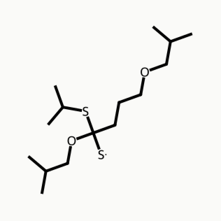 CC(C)COCCCC([S])(OCC(C)C)SC(C)C